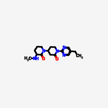 CCc1cnc(N2CCC(N3CCCC(NC)C3=O)CC2=O)nc1